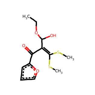 CCOC(O)C(C(=O)c1ccco1)=C(SC)SC